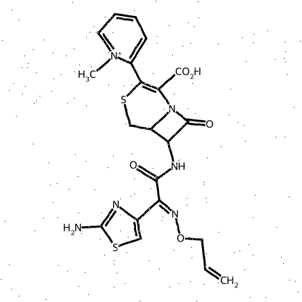 C=CCON=C(C(=O)NC1C(=O)N2C(C(=O)O)=C(c3cccc[n+]3C)SCC12)c1csc(N)n1